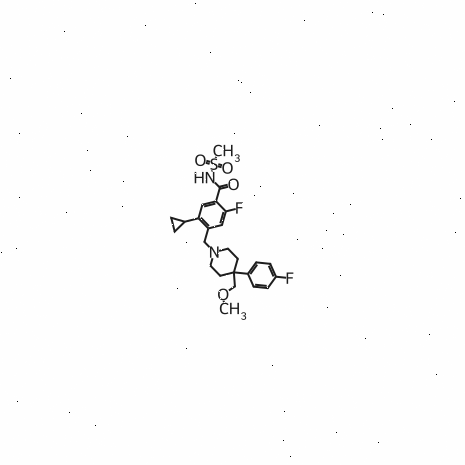 COCC1(c2ccc(F)cc2)CCN(Cc2cc(F)c(C(=O)NS(C)(=O)=O)cc2C2CC2)CC1